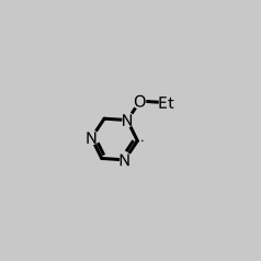 CCON1[C]=NC=NC1